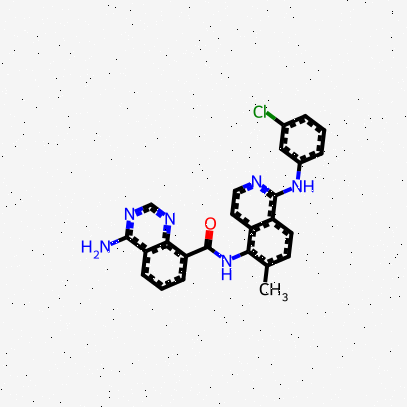 Cc1ccc2c(Nc3cccc(Cl)c3)nccc2c1NC(=O)c1cccc2c(N)ncnc12